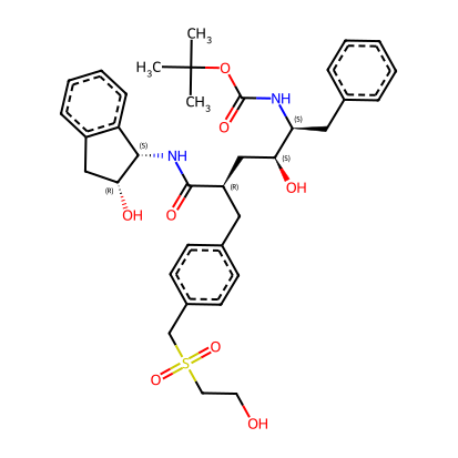 CC(C)(C)OC(=O)N[C@@H](Cc1ccccc1)[C@@H](O)C[C@@H](Cc1ccc(CS(=O)(=O)CCO)cc1)C(=O)N[C@H]1c2ccccc2C[C@H]1O